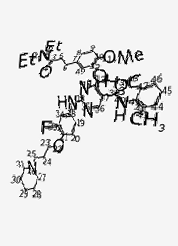 CCN(CC)C(=O)CCc1ccc(OC)c(Oc2nc(Nc3ccc(OCCCN4CCCCC4)c(F)c3)ncc2C(=O)Nc2c(C)cccc2C)c1